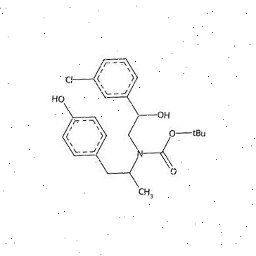 CC(Cc1ccc(O)cc1)N(CC(O)c1cccc(Cl)c1)C(=O)OC(C)(C)C